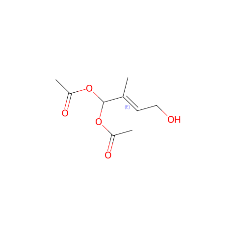 CC(=O)OC(OC(C)=O)/C(C)=C/CO